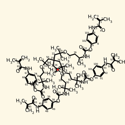 C=C(C)C(=O)Nc1ccc(OC(=O)NC(C)CCOC(C)(C)CC(CC(C)(C)OCCC(C)(C)NC(=O)Oc2ccc(NC(=O)C(=C)C)cc2)(CC(C)(C)OCCC(C)(C)NC(=O)Oc2ccc(NC(=O)C(=C)C)cc2)CC(C)(C)OCCC(C)(C)NC(=O)Oc2ccc(NC(=O)C(=C)C)cc2)cc1